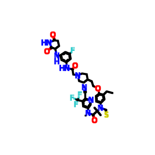 CCc1cc(N(C=S)C(C)(C)C(=O)N(C)c2cnc(C#N)c(C(F)(F)F)c2)ccc1OCCC1CCN(CC(=O)Nc2cc(F)cc(NC3CCC(=O)NC3=O)c2)CC1